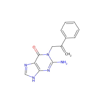 C=C(Cn1c(N)nc2[nH]cnc2c1=O)c1ccccc1